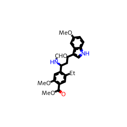 CCc1cc(C(=O)OC)c(OC)cc1C(CCc1c[nH]c2ccc(OC)cc12)NC=O